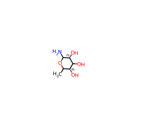 CC1OC(N)[C@@H](O)C(O)[C@H]1O